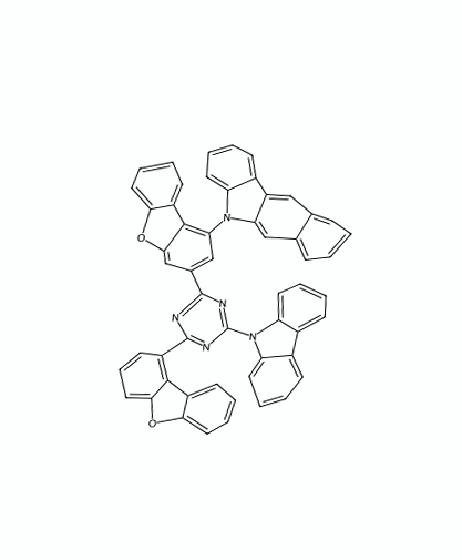 c1ccc2cc3c(cc2c1)c1ccccc1n3-c1cc(-c2nc(-c3cccc4oc5ccccc5c34)nc(-n3c4ccccc4c4ccccc43)n2)cc2oc3ccccc3c12